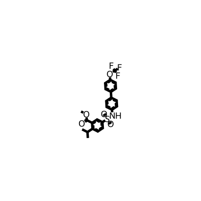 COC(=O)c1cc(S(=O)(=O)Nc2ccc(-c3ccc(OC(F)(F)F)cc3)cc2)ccc1C(C)C